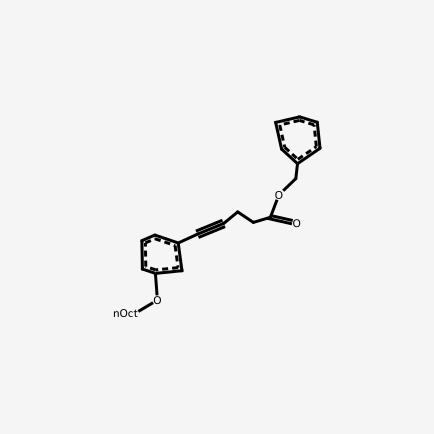 CCCCCCCCOc1cccc(C#CCCC(=O)OCc2ccccc2)c1